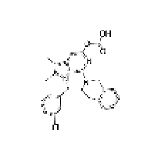 Cc1c(C)n(Cc2cccc(Cl)c2)c2c(N3CCc4ccccc4C3)nc(OC(=O)O)cc12